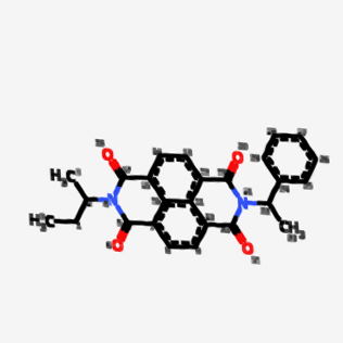 CCC(C)N1C(=O)c2ccc3c4c(ccc(c24)C1=O)C(=O)N(C(C)c1ccccc1)C3=O